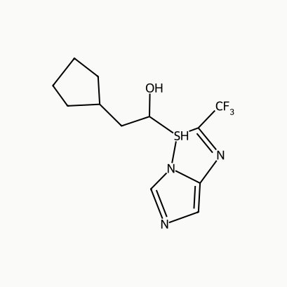 OC(CC1CCCC1)[SH]1C(C(F)(F)F)=Nc2cncn21